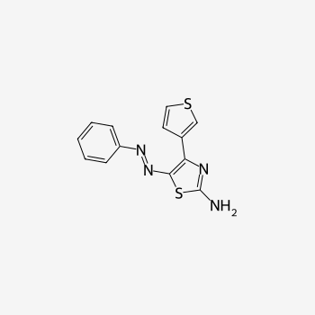 Nc1nc(-c2ccsc2)c(N=Nc2ccccc2)s1